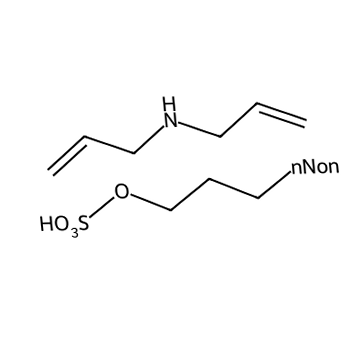 C=CCNCC=C.CCCCCCCCCCCCOS(=O)(=O)O